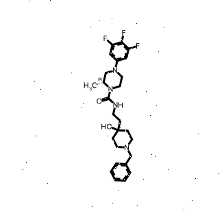 C[C@@H]1CN(c2cc(F)c(F)c(F)c2)CCN1C(=O)NCCC1(O)CCN(Cc2ccccc2)CC1